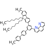 CCCCCCCCC1(CCCCCCCC)c2cc(C)ccc2-c2ccc(-c3cc(-c4ccc(-c5ccc(C)cc5)cc4)cc(-c4ccc5ccc6cccnc6c5n4)c3)cc21